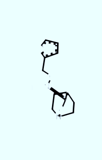 Cl.c1csc(CON=C2CN3CCC2CC3)c1